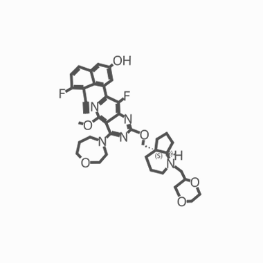 C#Cc1c(F)ccc2cc(O)cc(-c3nc(OC)c4c(N5CCCOCC5)nc(OC[C@]56CCC[C@H]5N(CC5COCCO5)CCC6)nc4c3F)c12